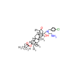 CC(C)C1=C2[C@H]3CC[C@@H]4[C@@]5(C)CC[C@H](OC(=O)CC(C)(C)C(=O)O)C(C)(C)[C@@H]5CC[C@@]4(C)[C@]3(C)CCC2(C(O)CN(CCN)Cc2ccc(Cl)cc2)CC1=O